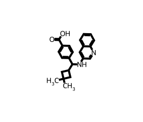 CC1(C)CC(C(Nc2cnc3ccccc3c2)c2ccc(C(=O)O)cc2)C1